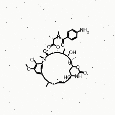 COc1cc2cc(c1Cl)N(C)C(=O)C[C@H](OC(=O)[C@H](C)N(C)C(=O)c1ccc(N)cc1)C(C)[C@@H](O)[C@H](C)[C@@H]1C[C@](O)(C/C=C/CC(C)C2)NC(=O)O1